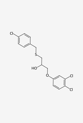 OC(COc1ccc(Cl)c(Cl)c1)CSCc1ccc(Cl)cc1